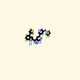 FC1(F)CCN(Cc2cncc(-c3cc4c(-c5cc6c(-c7ccsc7)cccc6[nH]5)n[nH]c4cn3)c2)C1